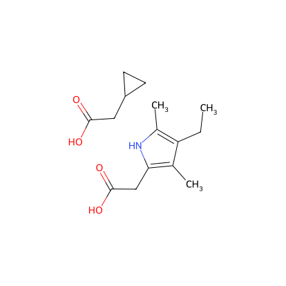 CCc1c(C)[nH]c(CC(=O)O)c1C.O=C(O)CC1CC1